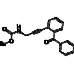 CC(C)(C)OC(=O)NCC#Cc1ccccc1C(=O)c1ccccc1